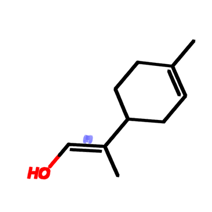 CC1=CCC(/C(C)=C/O)CC1